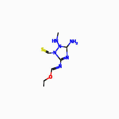 CCOC=NC1=NC(N)N(NC)N1C=S